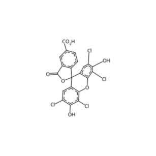 O=C(O)c1ccc2c(c1)C(=O)OC21c2cc(Cl)c(O)c(Cl)c2Oc2c1cc(Cl)c(O)c2Cl